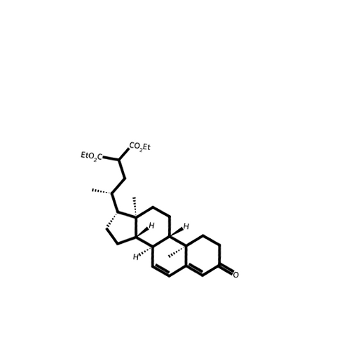 CCOC(=O)C(C[C@@H](C)[C@H]1CC[C@H]2[C@@H]3C=CC4=CC(=O)CC[C@]4(C)[C@H]3CC[C@]12C)C(=O)OCC